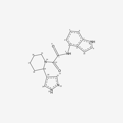 O=C(Nc1cccc2[nH]ccc12)C(=O)N1CCCCC1c1cn[nH]c1